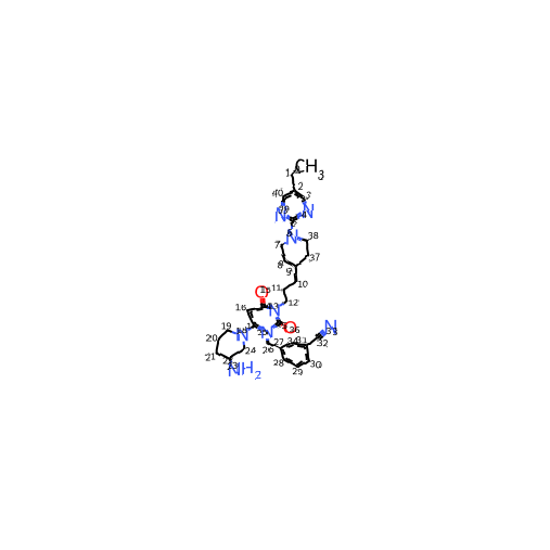 CCc1cnc(N2CCC(CCCn3c(=O)cc(N4CCCC(N)C4)n(Cc4cccc(C#N)c4)c3=O)CC2)nc1